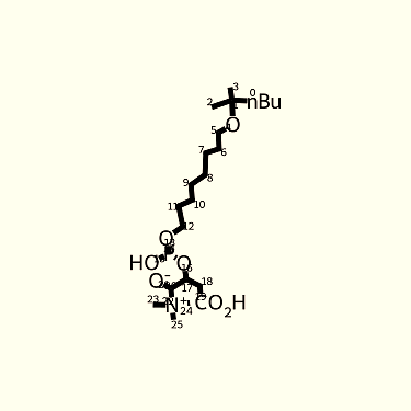 CCCCC(C)(C)OCCCCCCCCOP(O)OC(CC(=O)O)C([O-])[N+](C)(C)C